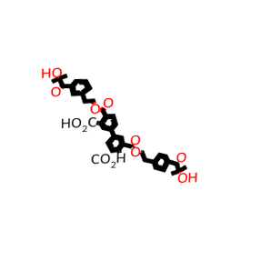 CC(C)(O)C(=O)c1ccc(CCOC(=O)c2cc(-c3ccc(C(=O)OCCc4cccc(C(=O)C(C)(C)O)c4)c(C(=O)O)c3)ccc2C(=O)O)cc1